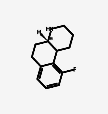 Fc1cccc2c1C1CCCN[C@@H]1CC2